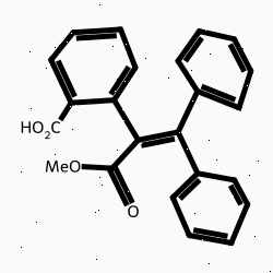 COC(=O)C(=C(c1ccccc1)c1ccccc1)c1ccccc1C(=O)O